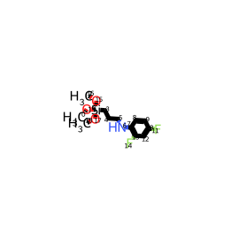 CO[Si](CCCNc1ccc(F)cc1F)(OC)OC